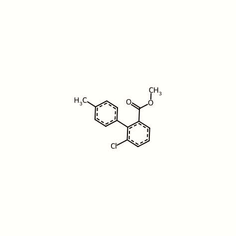 COC(=O)c1cccc(Cl)c1-c1ccc(C)cc1